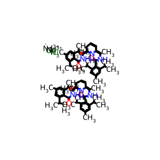 CC(NC(=O)c1c(C(C)C)cc(C)cc1C(C)C)=C1C=CCC(=C(C)NC(=O)c2c(C(C)C)cc(C)cc2C(C)C)N1.CC(NC(=O)c1c(C(C)C)cc(C)cc1C(C)C)=C1C=CCC(=C(C)NC(=O)c2c(C(C)C)cc(C)cc2C(C)C)N1.[Cl-].[Cl-].[Cl-].[Nd+3].[Nd+3]